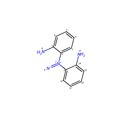 [N-]=[N+](c1ccccc1N)c1ccccc1N